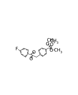 CO[Si](OC)(OC)c1ccc(CS(=O)(=O)c2ccc(F)cc2)cc1